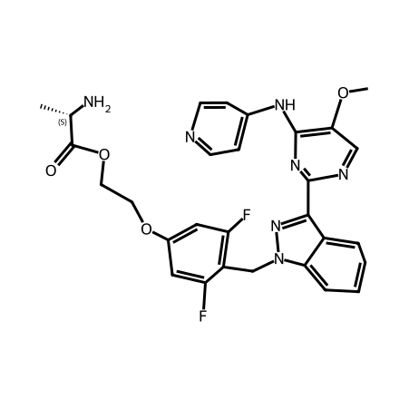 COc1cnc(-c2nn(Cc3c(F)cc(OCCOC(=O)[C@H](C)N)cc3F)c3ccccc23)nc1Nc1ccncc1